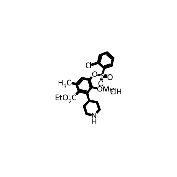 CCOC(=O)c1c(C)cc(OS(=O)(=O)c2ccccc2Cl)c(OC)c1C1CCNCC1.Cl